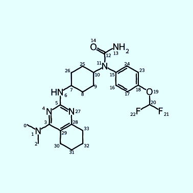 CN(C)c1nc(NC2CCC(N(C(N)=O)c3ccc(OC(F)F)cc3)CC2)nc2c1CCCC2